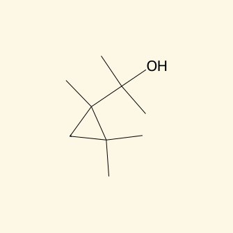 CC(C)(O)C1(C)CC1(C)C